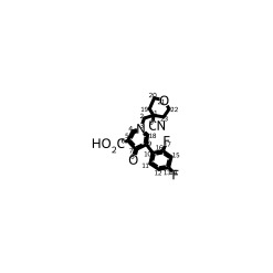 N#CC1(Cn2cc(C(=O)O)c(=O)c(-c3ccc(F)cc3F)c2)CCOCC1